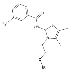 CCOCCN1C(C)=C(C)SC1NC(=O)c1cccc(C(F)(F)F)c1